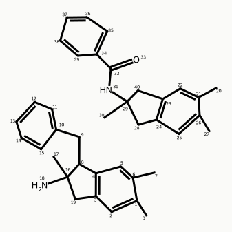 Cc1cc2c(cc1C)C(Cc1ccccc1)C(C)(N)C2.Cc1cc2c(cc1C)CC(C)(NC(=O)c1ccccc1)C2